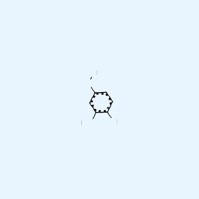 FC(F)(F)c1cc(SCl)ccc1Cl